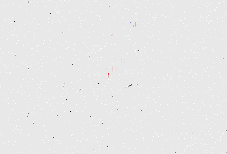 NC(=O)c1nc2c([C@@H](c3ccccc3)[C@H](O)c3ccccc3)cccc2s1